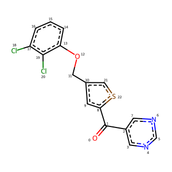 O=C(c1cncnc1)c1cc(COc2cccc(Cl)c2Cl)cs1